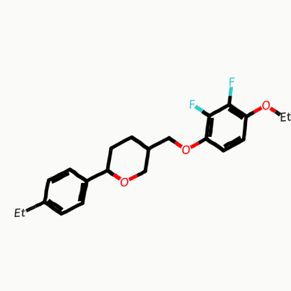 CCOc1ccc(OCC2CCC(c3ccc(CC)cc3)OC2)c(F)c1F